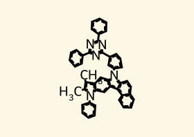 Cc1c(C)n(-c2ccccc2)c2cc3c4c5ccccc5ccc4n(-c4cccc(-c5nc(-c6ccccc6)nc(-c6ccccc6)n5)c4)c3cc12